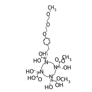 CCOCCOCCOc1ccc(CCC[C@@H](C(O)O)N2CCN([C@@H](CO)C(=O)O)CCN([C@@H](CO)C(O)OC)CCN([C@@H](CO)C(=O)OC)CC2)cc1